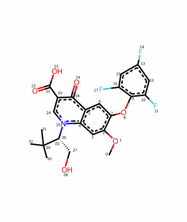 COc1cc2c(cc1Oc1c(F)cc(F)cc1F)c(=O)c(C(=O)O)cn2[C@H](CO)C(C)(C)C